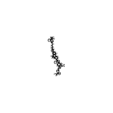 C=C(C)C(=O)OCCOc1ccc(OC(=O)c2ccc3c(c2)C(C)(C)c2cc(OCCCCCCOC(=O)C(=C)F)ccc2-3)cc1CC